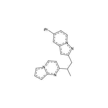 CC(C)c1ccn2nc(CC(C)c3ccn4cccc4n3)cc2c1